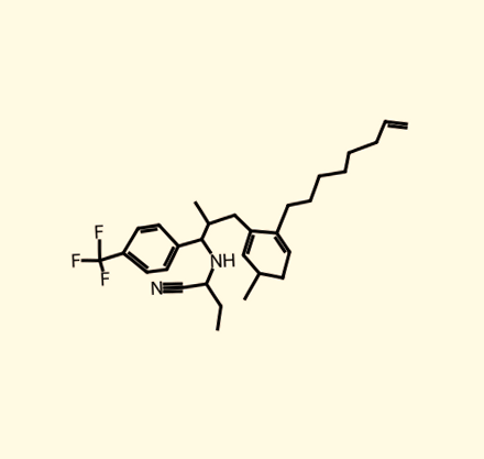 C=CCCCCCCC1=CCC(C)C=C1CC(C)C(NC(C#N)CC)c1ccc(C(F)(F)F)cc1